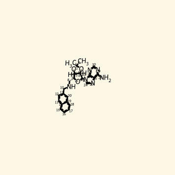 CC1(C)O[C@@H]2[C@H](O1)[C@@H](CNCc1ccc3ccccc3c1)O[C@H]2n1cnc2c(N)ncnc21